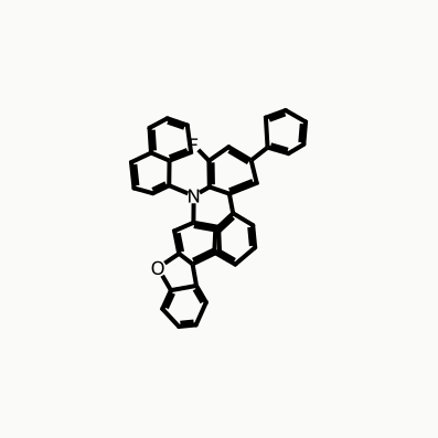 Fc1cc(-c2ccccc2)cc(-c2ccccc2)c1N(c1ccc2c(c1)oc1ccccc12)c1cccc2ccccc12